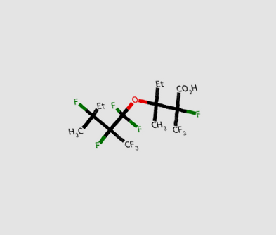 CCC(C)(F)C(F)(C(F)(F)F)C(F)(F)OC(C)(CC)C(F)(C(=O)O)C(F)(F)F